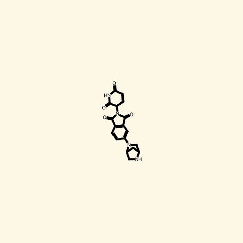 O=C1CCC(N2C(=O)c3ccc(N4CC5CC4CN5)cc3C2=O)C(=O)N1